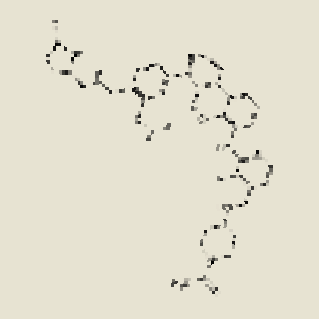 CC(=O)N1CCC(NCc2ccnc(Nc3cccc(-c4ccnc(-c5ccc(CNC[C@H]6CCC(=O)N6)c(OC(F)F)c5)c4Cl)c3Cl)c2F)CC1